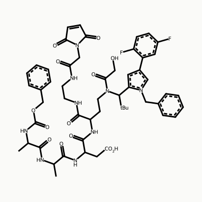 CC(NC(=O)OCc1ccccc1)C(=O)NC(C)C(=O)NC(CC(=O)O)C(=O)NC(CCN(C(=O)CO)C(c1cc(-c2cc(F)ccc2F)cn1Cc1ccccc1)C(C)(C)C)C(=O)NCCNC(=O)CN1C(=O)C=CC1=O